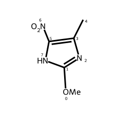 COc1nc(C)c([N+](=O)[O-])[nH]1